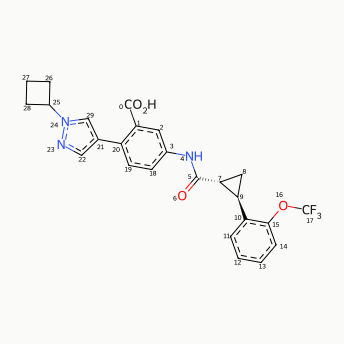 O=C(O)c1cc(NC(=O)[C@@H]2C[C@H]2c2ccccc2OC(F)(F)F)ccc1-c1cnn(C2CCC2)c1